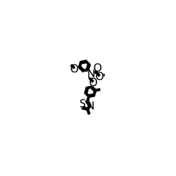 COC(=O)N(COc1ccc(-c2nc(C)cs2)cc1C)c1cccc(OC)c1